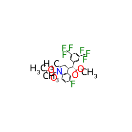 COC(=O)[C@@H](c1cc(C(F)(F)F)cc(C(F)(F)F)c1)[C@@H]1C[C@@H](C)N(C(=O)OC(C)C)c2ccc(F)cc21